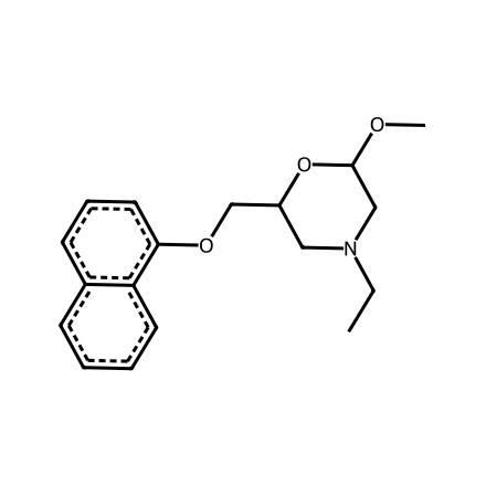 CCN1CC(COc2cccc3ccccc23)OC(OC)C1